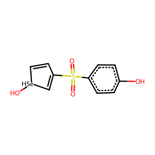 O=S(=O)(C1=C[SeH](O)C=C1)c1ccc(O)cc1